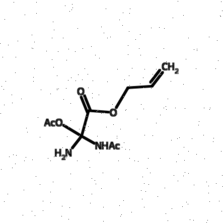 C=CCOC(=O)C(N)(NC(C)=O)OC(C)=O